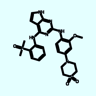 COc1cc(N2CCS(=O)(=O)CC2)ccc1Nc1nc(Nc2ccccc2P(C)(C)=O)c2cc[nH]c2n1